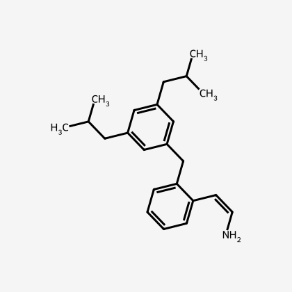 CC(C)Cc1cc(Cc2ccccc2/C=C\N)cc(CC(C)C)c1